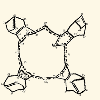 C1=C2CC3=C(c4cc5[nH]c(cc6nc(cc7[nH]c(cc3n4)c3c7CC4=CC3C4)C3=C6CC4=CC3C4)c3c5CC4=CC3C4)C1C2